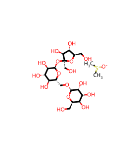 C[S+](C)[O-].OC[C@H]1O[C@H](OC[C@H]2O[C@H](O[C@]3(CO)O[C@H](CO)[C@@H](O)[C@@H]3O)[C@H](O)[C@@H](O)[C@@H]2O)[C@H](O)[C@@H](O)[C@H]1O